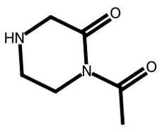 CC(=O)N1CCNCC1=O